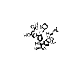 CCOc1cc2ncc(C#N)c(Nc3ccc(OCc4ccccn4)c(Cl)c3)c2cc1NC(=O)/C=C/CN(C)C.O=C(O)/C=C/C(=O)O